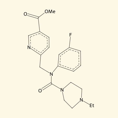 CCN1CCN(C(=O)N(Cc2ccc(C(=O)OC)cn2)c2cccc(F)c2)CC1